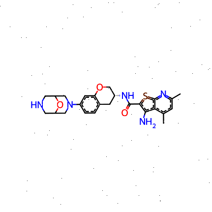 Cc1cc(C)c2c(N)c(C(=O)N[C@H]3COc4cc(N5CC6CNCC(C5)O6)ccc4C3)sc2n1